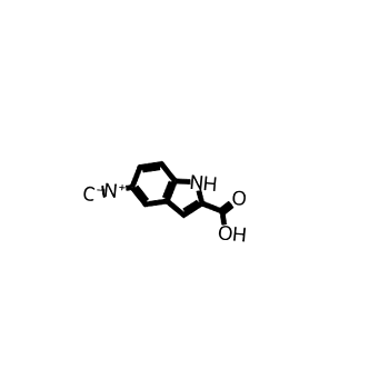 [C-]#[N+]c1ccc2[nH]c(C(=O)O)cc2c1